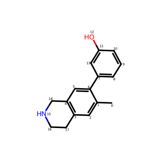 Cc1cc2c(cc1-c1cccc(O)c1)CNCC2